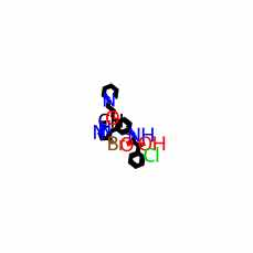 Cn1ncc(Br)c1-c1cc(NC(=O)C(O)c2ccccc2Cl)ccc1OCCN1CCCCC1